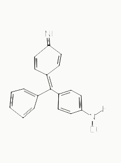 CCN(CC)c1ccc(C(=C2C=CC(=N)C=C2)c2ccccc2)cc1